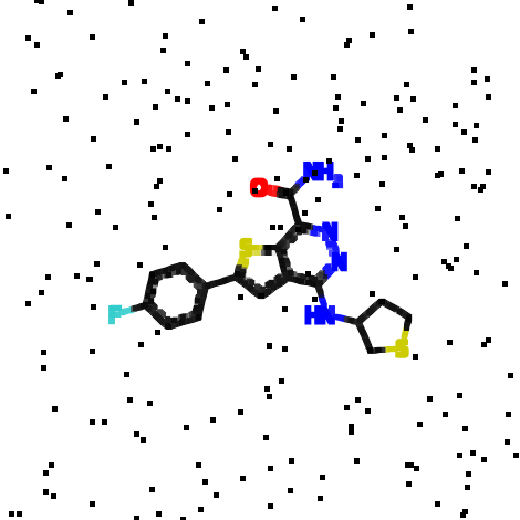 NC(=O)c1nnc(NC2CCSC2)c2cc(-c3ccc(F)cc3)sc12